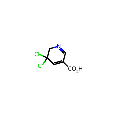 O=C(O)C1=CC(Cl)(Cl)CN=C1